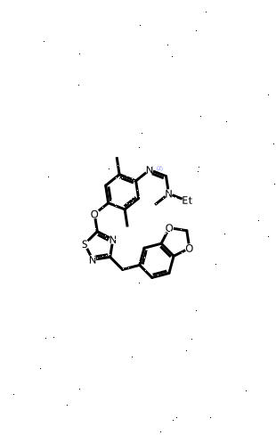 CCN(C)/C=N\c1cc(C)c(Oc2nc(Cc3ccc4c(c3)OCO4)ns2)cc1C